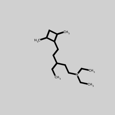 CCC(CCC1C(C)CC1C)CCN(CC)CC